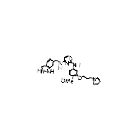 COc1ccc(Nc2nccc(NCc3ccc4c(c3)NNC4)n2)cc1OCCCN1CCCC1